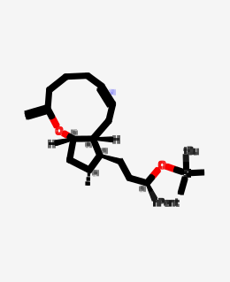 C=C1CCC/C=C\C[C@@H]2[C@@H](CC[C@H](CCCCC)O[Si](C)(C)C(C)(C)C)[C@H](C)C[C@@H]2O1